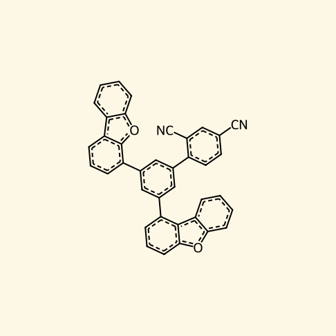 N#Cc1ccc(-c2cc(-c3cccc4c3oc3ccccc34)cc(-c3cccc4oc5ccccc5c34)c2)c(C#N)c1